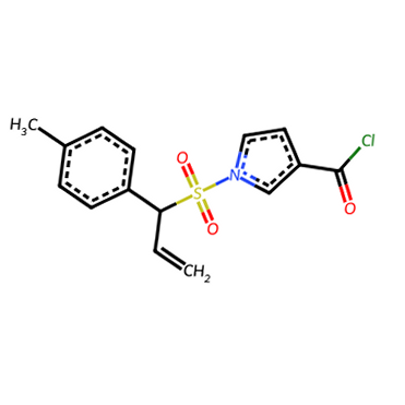 C=CC(c1ccc(C)cc1)S(=O)(=O)n1ccc(C(=O)Cl)c1